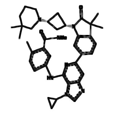 CNC(=O)c1cc(Nc2nc(-c3ccc4c(c3)N([C@H]3C[C@@H](N5CCCC(C)(C)C5)C3)C(=O)C4(C)C)cc3ncn(C4CC4)c23)ccc1C